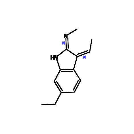 C/C=C1\C(=N/C)Nc2cc(CC)ccc21